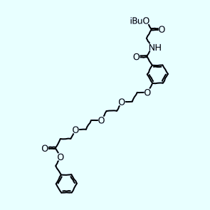 CC(C)COC(=O)CNC(=O)c1cccc(OCCOCCOCCOCCC(=O)OCc2ccccc2)c1